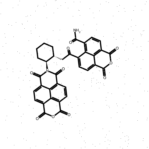 NC(=O)c1ccc2c3c(ccc(C(=O)C[C@H]4CCCC[C@@H]4N4C(=O)c5ccc6c7c(ccc(c57)C4=O)C(=O)OC6=O)c13)C(=O)OC2=O